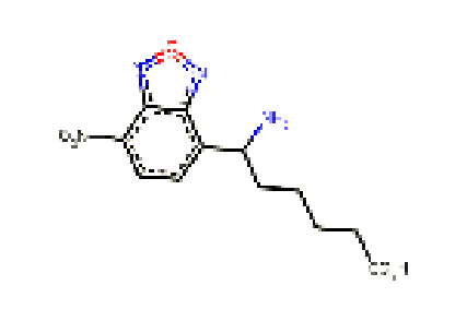 NC(CCCCC(=O)O)c1ccc([N+](=O)[O-])c2nonc12